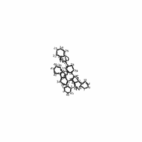 c1ccc(-c2nc3ccccc3c3sc(-c4ccc(-c5nc6ccccc6o5)cc4)c(-c4cccc5c4oc4ccccc45)c23)cc1